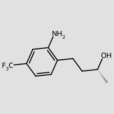 C[C@@H](O)CCc1ccc(C(F)(F)F)cc1N